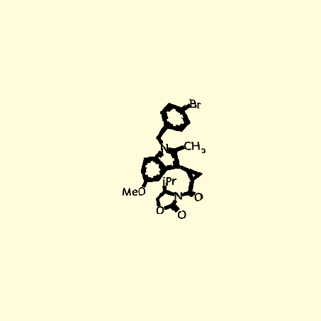 COc1ccc2c(c1)c(C1CC1C(=O)N1C(=O)OCC1C(C)C)c(C)n2Cc1ccc(Br)cc1